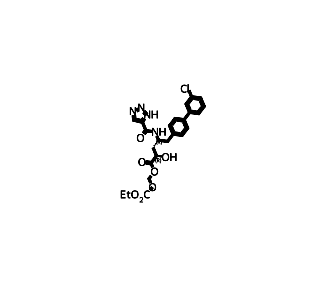 CCOC(=O)OCOC(=O)[C@H](O)C[C@@H](Cc1ccc(-c2cccc(Cl)c2)cc1)NC(=O)c1cnn[nH]1